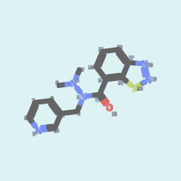 CN(C)N(Cc1cccnc1)C(=O)c1cccc2nnsc12